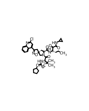 CCC[C@H](NC(=O)[C@@H]1C[C@]2(CC(c3cc(Cl)nc4ccccc34)=NO2)CN1C(=O)[C@@H](NC(=O)OC1CCCC1)C(C)(C)C)C(=O)C(=O)NC1CC1